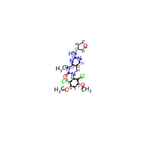 COc1cc(OC)c(Cl)c(N2Cc3cnc(N[C@@H]4CCOC4)nc3N(C)C2=O)c1Cl